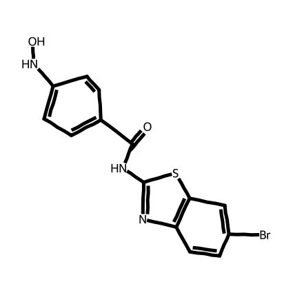 O=C(Nc1nc2ccc(Br)cc2s1)c1ccc(NO)cc1